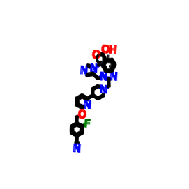 CCn1cncc1Cn1c(CN2CCC(c3cccc(OCc4ccc(C#N)cc4F)n3)CC2)nc2ccc(C(=O)O)cc21